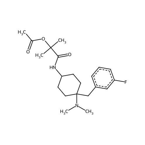 CC(=O)OC(C)(C)C(=O)NC1CCC(Cc2cccc(F)c2)(N(C)C)CC1